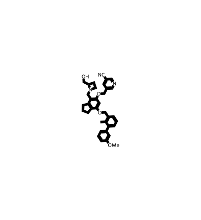 COc1cccc(-c2cccc(COc3cc(OCc4cncc(C#N)c4)c(CN4CCC4CO)c4c3CCC4)c2C)c1